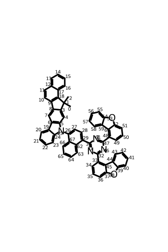 CC1(C)c2cc3c(cc2-c2ccc4ccccc4c21)c1ccccc1n3-c1ccc(-c2nc(-c3cccc4oc5ccccc5c34)nc(-c3cccc4oc5ccccc5c34)n2)c2ccccc12